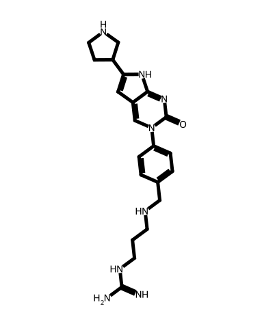 N=C(N)NCCCNCc1ccc(-n2cc3cc(C4CCNC4)[nH]c3nc2=O)cc1